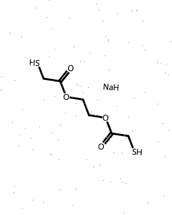 O=C(CS)OCCOC(=O)CS.[NaH]